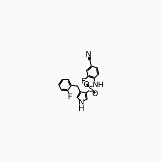 N#Cc1ccc(NS(=O)(=O)c2c[nH]cc2Cc2ccccc2F)c(F)c1